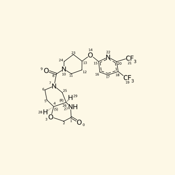 O=C1CO[C@H]2CCN(C(=O)N3CCC(Oc4ccc(C(F)(F)F)c(C(F)(F)F)n4)CC3)C[C@H]2N1